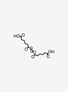 O=C(O)CCCCC(=O)OOOC(=O)CCCCC(=O)O